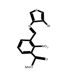 COC(=O)c1cccc(/C=N/c2cscc2Br)c1[N+](=O)[O-]